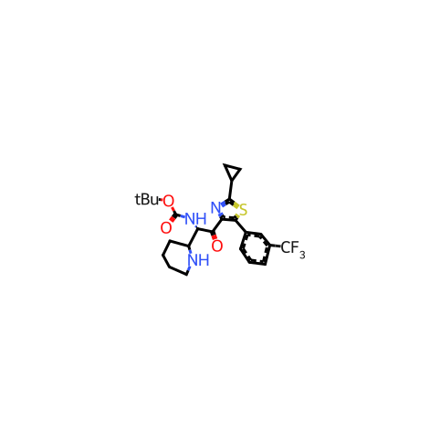 CC(C)(C)OC(=O)N[C@H](C(=O)c1nc(C2CC2)sc1-c1cccc(C(F)(F)F)c1)C1CCCCN1